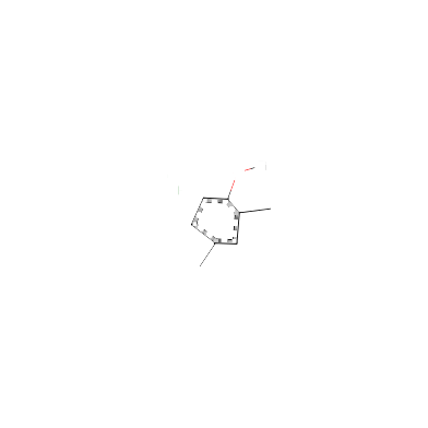 Cc1ccc([O][Ti])c(C)c1.Cl.Cl